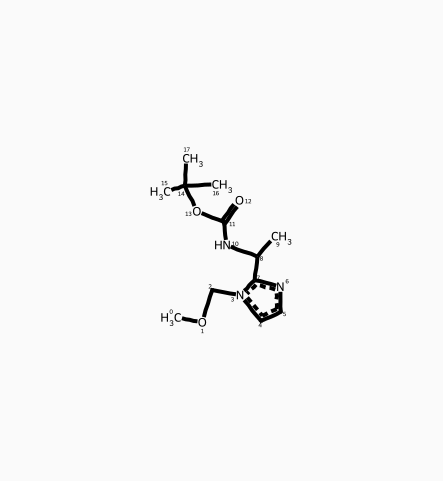 COCn1ccnc1C(C)NC(=O)OC(C)(C)C